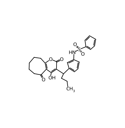 CCCC(c1cccc(NS(=O)(=O)c2ccccc2)c1)c1c(O)c2c(oc1=O)CCCCCC2=O